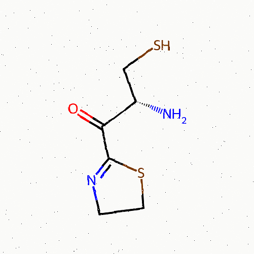 N[C@@H](CS)C(=O)C1=NCCS1